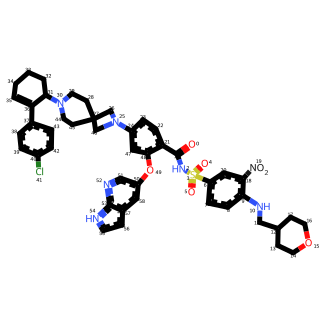 O=C(NS(=O)(=O)c1ccc(NCC2CCOCC2)c([N+](=O)[O-])c1)c1ccc(N2CC3(CCN(C4CCCC=C4c4ccc(Cl)cc4)CC3)C2)cc1Oc1cnc2[nH]ccc2c1